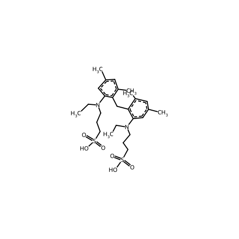 CCN(CCCS(=O)(=O)O)c1cc(C)cc(C)c1Cc1c(C)cc(C)cc1N(CC)CCCS(=O)(=O)O